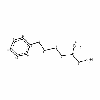 NC(CO)CCCCc1ccccc1